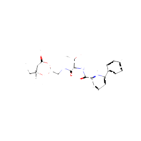 C[C@@H](O)C(NC(=O)c1cccc(-c2ccccc2)n1)C(=O)NCB1OC(=O)CC(CC(=O)O)(C(=O)O)O1